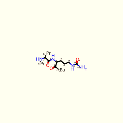 CC(C)NC(C(=O)NC(CCCNC(N)=O)C(=O)C(C)(C)C)C(C)C